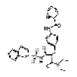 CCN(CC)C(=O)C(Cc1ccc(NC(=O)c2cnccn2)cc1)C(=O)NS(=O)(=O)c1ccc2ccccc2c1